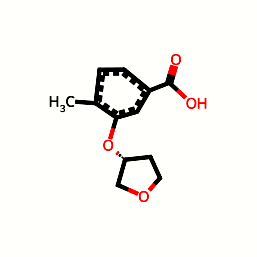 Cc1ccc(C(=O)O)cc1O[C@@H]1CCOC1